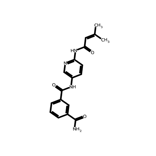 CC(C)=CC(=O)Nc1ccc(NC(=O)c2cccc(C(N)=O)c2)cn1